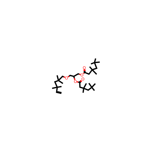 C=CC(C)(C)CC(C)(C)COCC(COC(=O)CC(C)(C)CC(C)(C)C)OC(=O)CC(C)(C)CC(C)(C)C